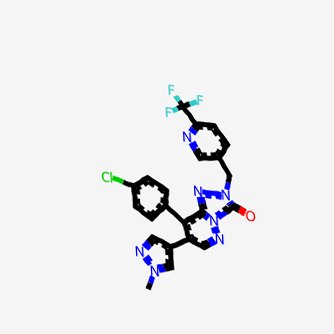 Cn1cc(-c2cnn3c(=O)n(Cc4ccc(C(F)(F)F)nc4)nc3c2-c2ccc(Cl)cc2)cn1